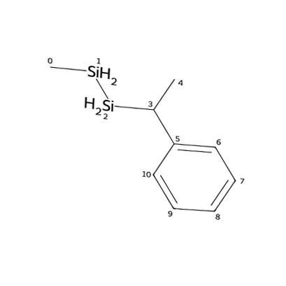 C[SiH2][SiH2]C(C)c1ccccc1